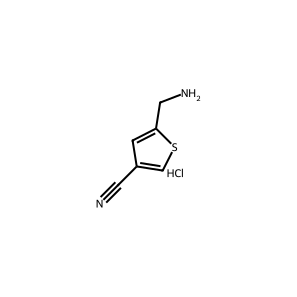 Cl.N#Cc1csc(CN)c1